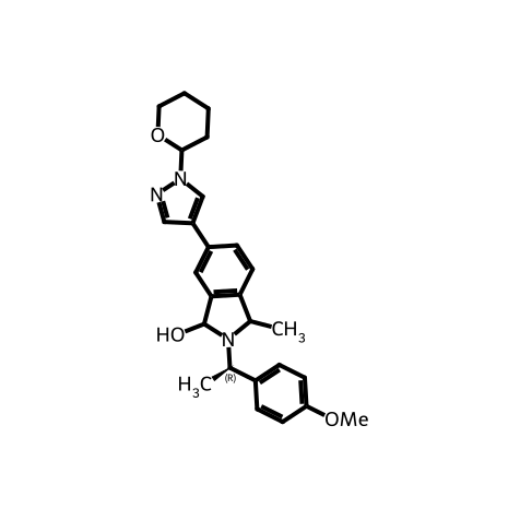 COc1ccc([C@@H](C)N2C(C)c3ccc(-c4cnn(C5CCCCO5)c4)cc3C2O)cc1